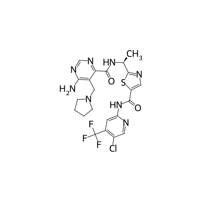 C[C@H](NC(=O)c1ncnc(N)c1CN1CCCC1)c1ncc(C(=O)Nc2cc(C(F)(F)F)c(Cl)cn2)s1